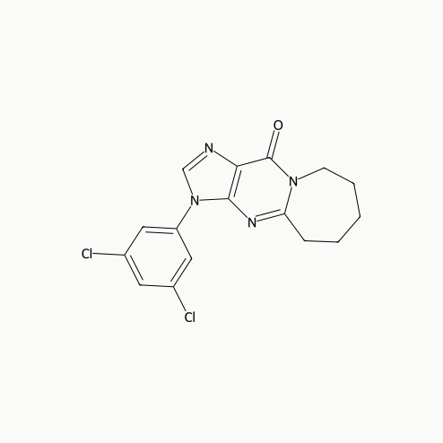 O=c1c2ncn(-c3cc(Cl)cc(Cl)c3)c2nc2n1CCCCC2